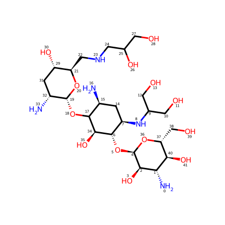 N[C@@H]1[C@@H](O)[C@@H](O[C@H]2[C@H](NC(CO)CO)C[C@H](N)C(O[C@H]3O[C@H](CNCC(O)CO)[C@@H](O)C[C@H]3N)[C@@H]2O)O[C@H](CO)[C@H]1O